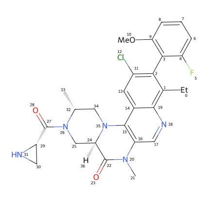 CCc1c(-c2c(F)cccc2OC)c(Cl)cc2c3c(cnc12)N(C)C(=O)[C@H]1CN(C(=O)[C@@H]2CN2)[C@H](C)CN31